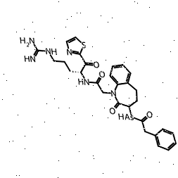 N=C(N)NCCC[C@@H](NC(=O)CN1C(=O)C([AsH]C(=O)Cc2ccccc2)CCc2ccccc21)C(=O)c1nccs1